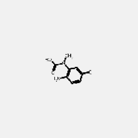 CN(C(=O)O)c1cc(Cl)ccc1N